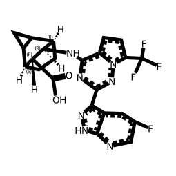 O=C(O)[C@H]1[C@H](Nc2nc(-c3n[nH]c4ncc(F)cc34)nn3c(C(F)(F)F)ccc23)[C@@H]2CC[C@H]1C1CC12